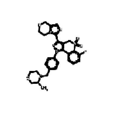 C[C@H]1COCCN1Cc1ccc(-n2nc(-c3ncc4n3CCOC4)c3c2-c2cccc(F)c2S(=O)(=O)C3)cc1